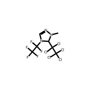 CN1N=CN(C(F)(F)C(F)(F)F)C1C(Cl)(Cl)C(Cl)(Cl)Cl